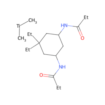 CCC(=O)NC1CC(NC(=O)CC)CC(CC)(CC)C1.[CH3][Ti][CH3]